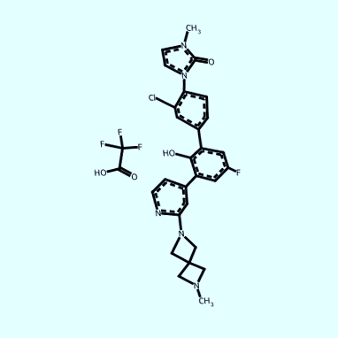 CN1CC2(C1)CN(c1cc(-c3cc(F)cc(-c4ccc(-n5ccn(C)c5=O)c(Cl)c4)c3O)ccn1)C2.O=C(O)C(F)(F)F